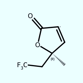 C[C@@]1(CC(F)(F)F)C=[C]C(=O)O1